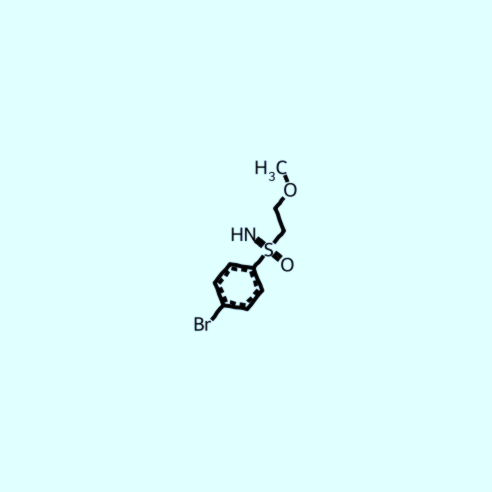 COCCS(=N)(=O)c1ccc(Br)cc1